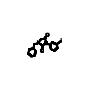 O=C1CN(Cc2ccccc2)C(=O)N1c1cccc(I)c1